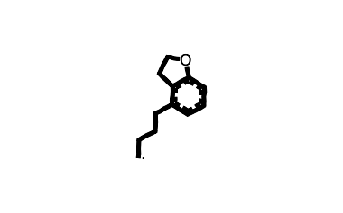 [CH2]CCCc1cccc2c1CCO2